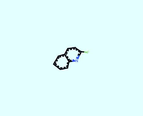 Fc1[c]cc2ccccc2n1